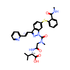 CNC(=O)c1ccccc1Sc1ccc2c(/C=C/c3ccccn3)nn(C(=O)N(C)CC(=O)N[C@H](C(=O)O)C(C)C)c2c1